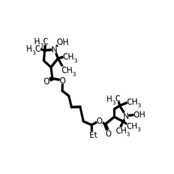 CCC(CCCCCOC(=O)C1CC(C)(C)N(O)C1(C)C)OC(=O)C1CC(C)(C)N(O)C1(C)C